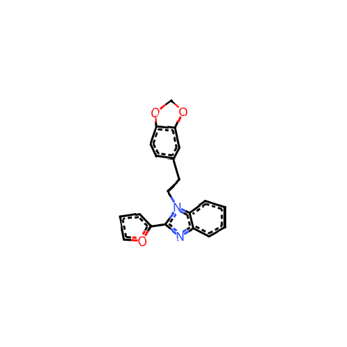 c1coc(-c2nc3ccccc3n2CCc2ccc3c(c2)OCO3)c1